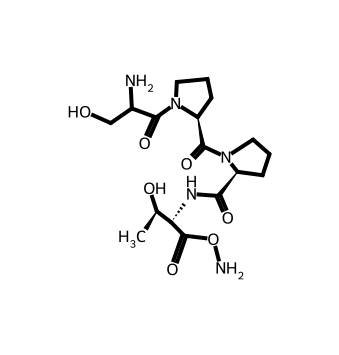 C[C@@H](O)[C@H](NC(=O)[C@@H]1CCCN1C(=O)[C@@H]1CCCN1C(=O)C(N)CO)C(=O)ON